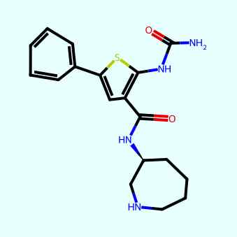 NC(=O)Nc1sc(-c2ccccc2)cc1C(=O)N[C@H]1CCCCNC1